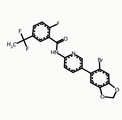 CC(F)(F)c1ccc(F)c(C(=O)Nc2ccc(-c3cc4c(cc3Br)OCO4)cn2)c1